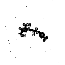 C[C@H](O)[C@@H]1C(=O)N2C(C(=O)O)=C(SCCNC(=O)OCc3ccc([N+](=O)[O-])cc3)CC12